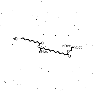 CCCCCCCCCCCCCCCCCC(=O)OC(CCCCCC)CCCCCCCCCCC(=O)OCC(CCCCCCCC)CCCCCCCCCC